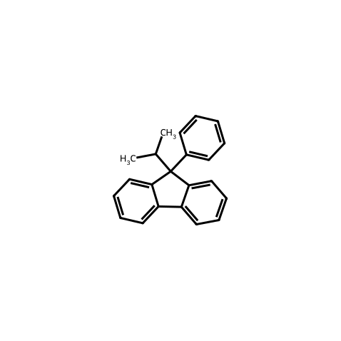 CC(C)C1(c2ccccc2)c2ccccc2-c2ccccc21